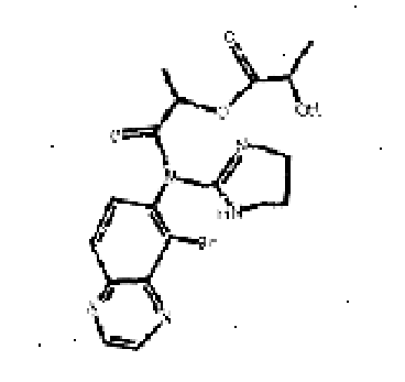 CC(O)C(=O)OC(C)C(=O)N(C1=NCCN1)c1ccc2nccnc2c1Br